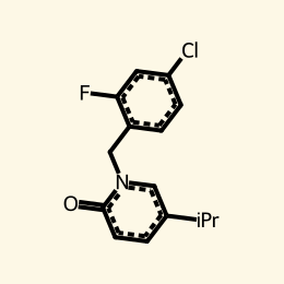 CC(C)c1ccc(=O)n(Cc2ccc(Cl)cc2F)c1